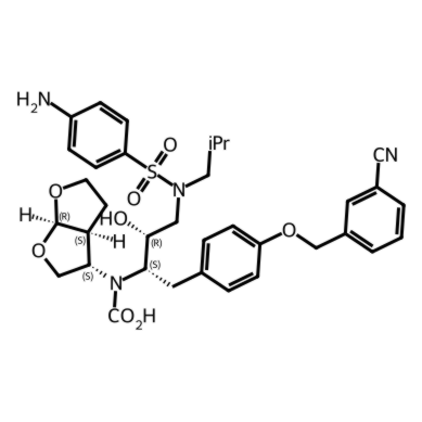 CC(C)CN(C[C@@H](O)[C@H](Cc1ccc(OCc2cccc(C#N)c2)cc1)N(C(=O)O)[C@@H]1CO[C@H]2OCC[C@H]21)S(=O)(=O)c1ccc(N)cc1